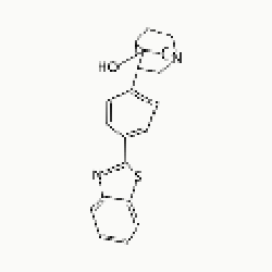 OC1(c2ccc(-c3nc4ccccc4s3)cc2)CN2CCC1CC2